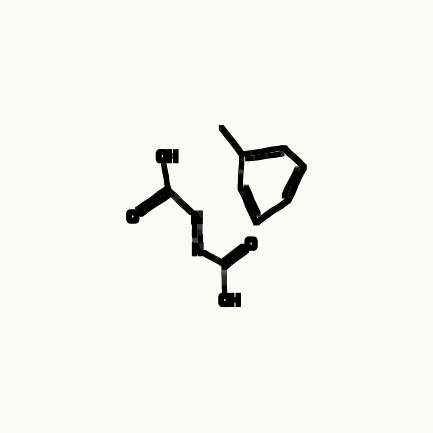 Cc1ccccc1.O=C(O)N=NC(=O)O